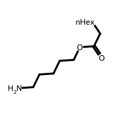 CCCCCCCC(=O)OCCCCCN